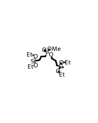 CCO[Si](C)(CCCOP(=O)(CCC[Si](C)(OCC)OCC)OC)OCC